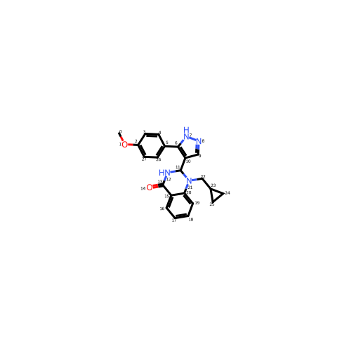 COc1ccc(-c2[nH]ncc2C2NC(=O)c3ccccc3N2CC2CC2)cc1